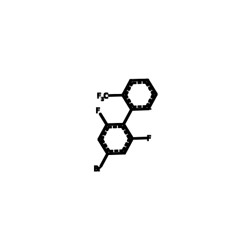 Fc1cc(Br)cc(F)c1-c1[c]cccc1C(F)(F)F